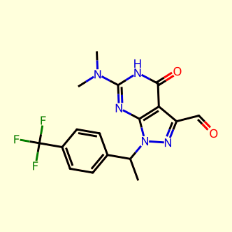 CC(c1ccc(C(F)(F)F)cc1)n1nc(C=O)c2c(=O)[nH]c(N(C)C)nc21